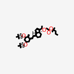 C=C1/C(=C\C=C2/CCC[C@]3(C)C(C(C)OCC(=O)OC(C)(C)CCC)=CC[C@@H]23)C[C@@H](O[Si](C)(C)C(C)(C)C)C[C@@H]1O[Si](C)(C)C(C)(C)C